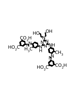 Cc1cc(Nc2nc(Nc3ccc(N=Nc4cc(C(=O)O)cc(C(=O)O)c4)c(C)c3)nc(N(CCO)CCO)n2)ccc1N=Nc1cc(C(=O)O)cc(C(=O)O)c1